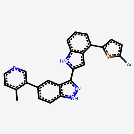 CC(=O)c1ccc(-c2cccc3[nH]c(-c4n[nH]c5ccc(-c6cnccc6C)cc45)cc23)s1